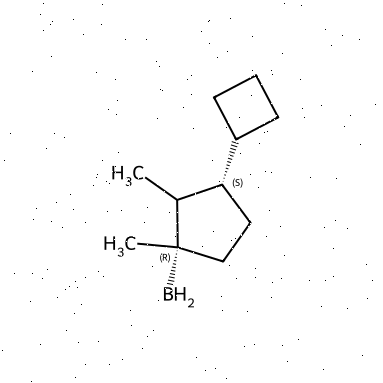 B[C@@]1(C)CC[C@@H](C2CCC2)C1C